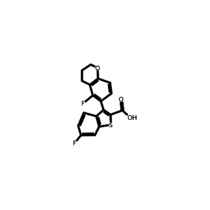 O=C(O)c1sc2cc(F)ccc2c1-c1ccc2c(c1F)CCCO2